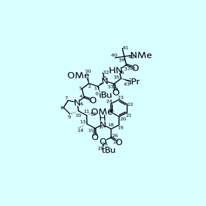 CC[C@H](C)[C@@H]([C@@H](CC(=O)N1CCC[C@H]1[C@H](OC)[C@@H](C)C(=O)NC(Cc1ccccc1)C(=O)OC(C)(C)C)OC)N(C)C(=O)[C@@H](NC(=O)C(C)(C)NC)C(C)C